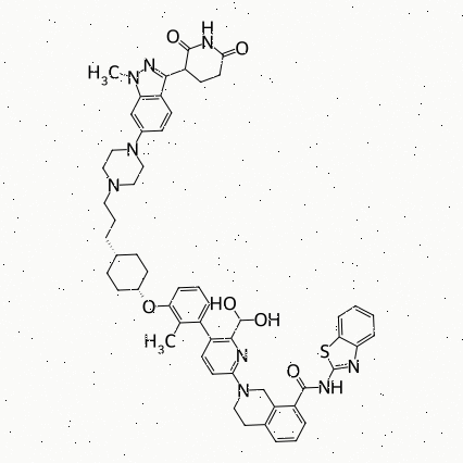 Cc1c(O[C@H]2CC[C@@H](CCCN3CCN(c4ccc5c(C6CCC(=O)NC6=O)nn(C)c5c4)CC3)CC2)cccc1-c1ccc(N2CCc3cccc(C(=O)Nc4nc5ccccc5s4)c3C2)nc1C(O)O